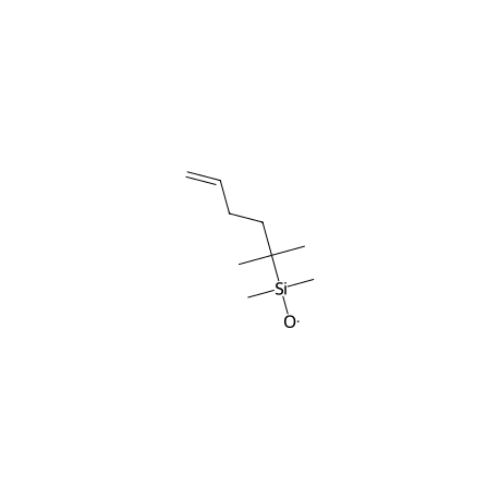 C=CCCC(C)(C)[Si](C)(C)[O]